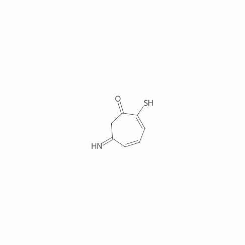 N=C1C=CC=C(S)C(=O)C1